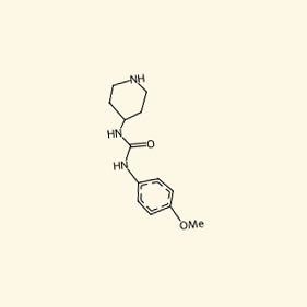 COc1ccc(NC(=O)NC2CCNCC2)cc1